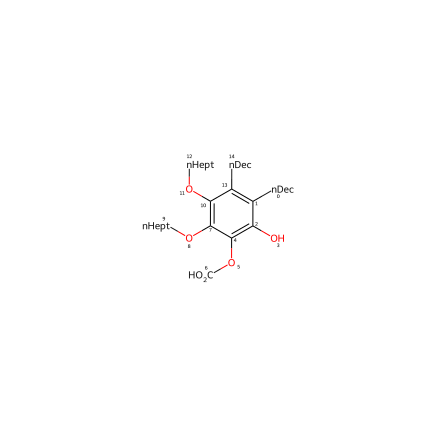 CCCCCCCCCCc1c(O)c(OC(=O)O)c(OCCCCCCC)c(OCCCCCCC)c1CCCCCCCCCC